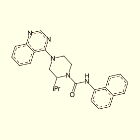 CC(C)C1CN(c2ncnc3ccccc23)CCN1C(=O)Nc1cccc2ccccc12